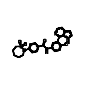 O=C(Nc1ccc(Cl)c(-c2nccc3cc[nH]c23)c1)c1ccc(N2CCCCCS2(=O)=O)cc1